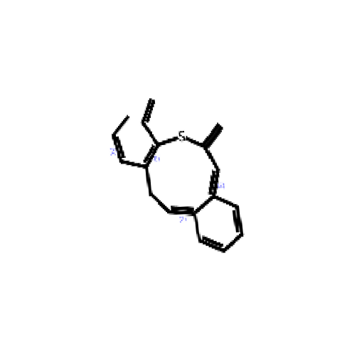 C=C/C1=C(\C=C/C)C/C=c2/cccc/c2=C/C(=C)S1